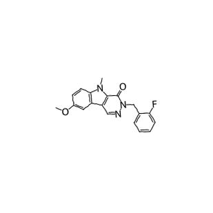 COc1ccc2c(c1)c1cnn(Cc3ccccc3F)c(=O)c1n2C